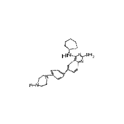 CC(C)N1CCN(c2ccc(-c3ccc4nc(N)nc(NC5CCCCC5)c4c3)cc2)CC1